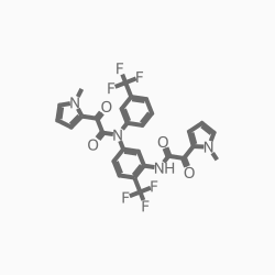 Cn1cccc1C(=O)C(=O)Nc1cc(N(C(=O)C(=O)c2cccn2C)c2cccc(C(F)(F)F)c2)ccc1C(F)(F)F